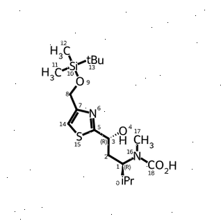 CC(C)[C@@H](C[C@@H](O)c1nc(CO[Si](C)(C)C(C)(C)C)cs1)N(C)C(=O)O